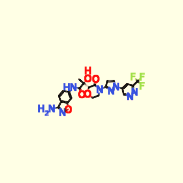 CC(O)(C(=O)Nc1ccc2c(N)noc2c1)[C@H]1OCCN(c2ccn(-c3cnnc(C(F)(F)F)c3)n2)C1=O